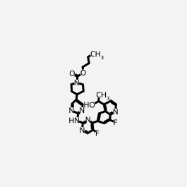 CCCCOC(=O)N1CCC(c2cnc(Nc3ncc(F)c(-c4cc(F)c5nccc(C(C)O)c5c4)n3)nc2)CC1